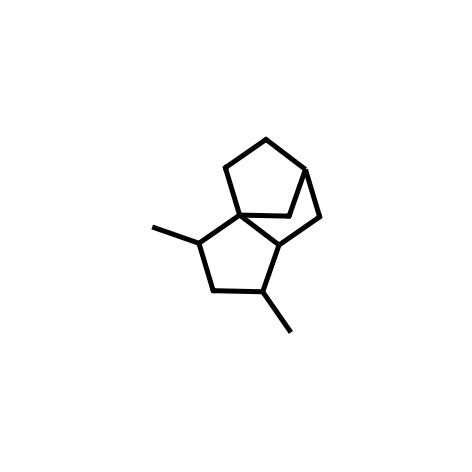 CC1CC(C)C23CCC(CC12)C3